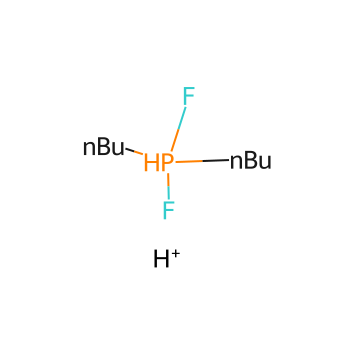 CCCC[PH](F)(F)CCCC.[H+]